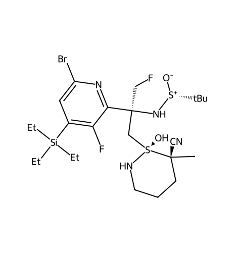 CC[Si](CC)(CC)c1cc(Br)nc([C@](CF)(C[S@@]2(O)NCCC[C@]2(C)C#N)N[S@+]([O-])C(C)(C)C)c1F